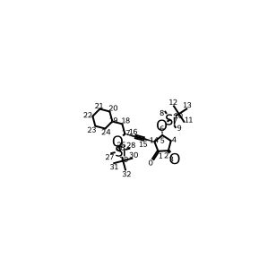 C=C1C(=O)C[C@@H](O[Si](C)(C)C(C)(C)C)[C@@H]1C#C[C@H](CC1CCCCC1)O[Si](C)(C)C(C)(C)C